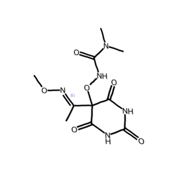 CO/N=C(\C)C1(ONC(=O)N(C)C)C(=O)NC(=O)NC1=O